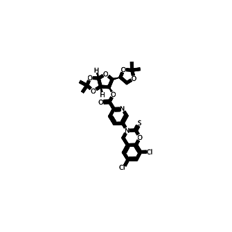 CC1(C)O[C@@H]2OC([C@@H]3COC(C)(C)O3)[C@@H](OC(=O)c3ccc(N4Cc5cc(Cl)cc(Cl)c5OC4=S)cn3)[C@@H]2O1